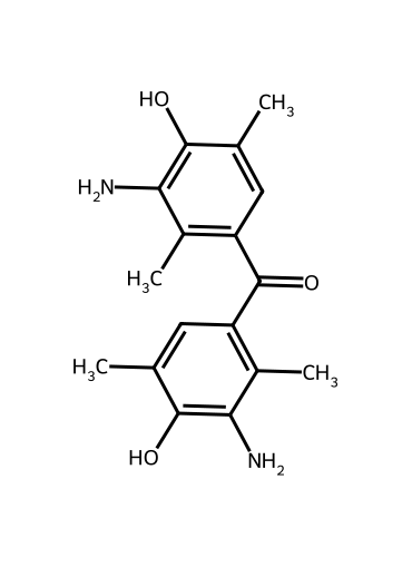 Cc1cc(C(=O)c2cc(C)c(O)c(N)c2C)c(C)c(N)c1O